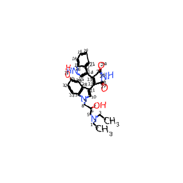 CCN(CC)CC(O)Cn1cc(C2=C(c3c[nH]c4ccccc34)C(=O)NC2=O)c2cc(O)ccc21